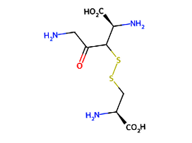 NCC(=O)C(SSC[C@H](N)C(=O)O)[C@H](N)C(=O)O